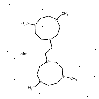 CN1CCN(C)CCN(CCN2CCN(C)CCN(C)CC2)CC1.[Mn]